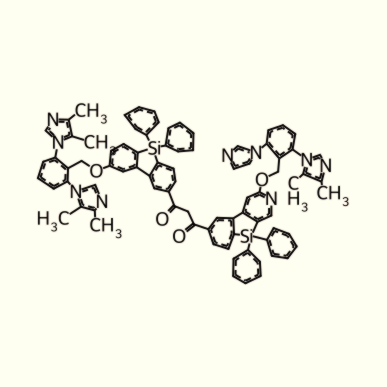 Cc1ncn(-c2cccc(-n3ccnc3)c2COc2cc3c(cn2)[Si](c2ccccc2)(c2ccccc2)c2ccc(C(=O)CC(=O)c4ccc5c(c4)-c4cc(OCc6c(-n7cnc(C)c7C)cccc6-n6cnc(C)c6C)ccc4[Si]5(c4ccccc4)c4ccccc4)cc2-3)c1C